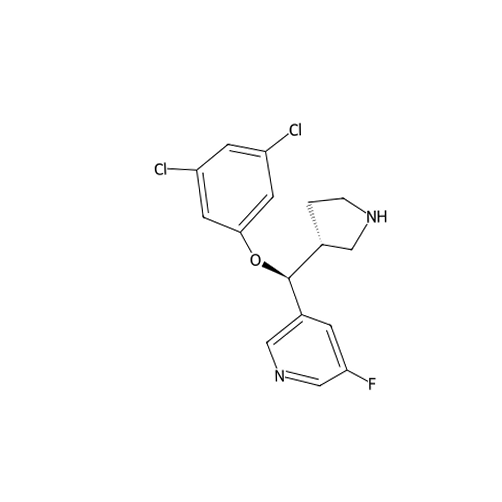 Fc1cncc([C@@H](Oc2cc(Cl)cc(Cl)c2)[C@@H]2CCNC2)c1